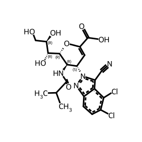 CC(C)C(=O)N[C@H]1[C@H]([C@H](O)[C@H](O)CO)OC(C(=O)O)=C[C@@H]1n1nc2ccc(Cl)c(Cl)c2c1C#N